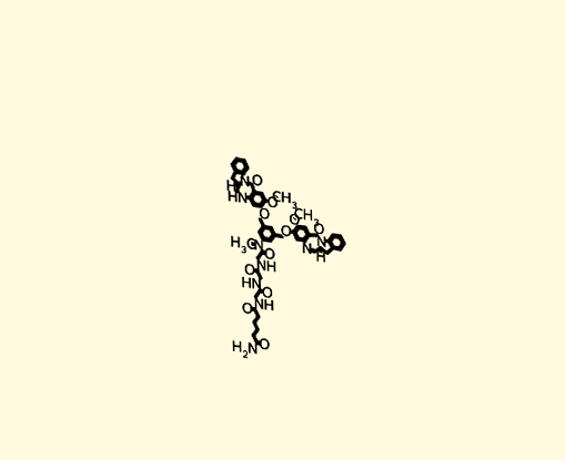 COc1cc2c(cc1OCc1cc(COc3cc4c(cc3OC)C(=O)N3c5ccccc5C[C@H]3CN4)cc(N(C)C(=O)CNC(=O)CNC(=O)CNC(=O)CCCCC(N)=O)c1)N=C[C@@H]1Cc3ccccc3N1C2=O